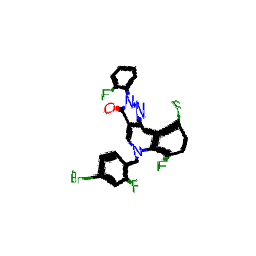 O=c1c2cn(Cc3ccc(Br)cc3F)c3c(F)ccc(F)c3c-2nn1-c1ccccc1F